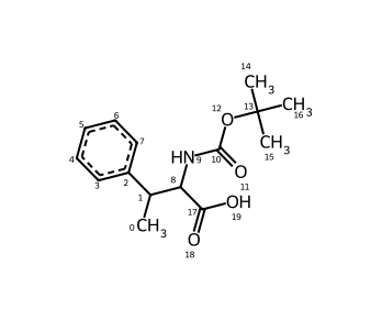 CC(c1ccccc1)C(NC(=O)OC(C)(C)C)C(=O)O